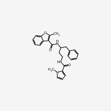 Cc1oc2ccccc2c1C(=O)NC(CCNC(=O)c1cccn1C)Cc1ccccc1